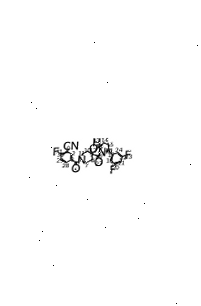 N#Cc1cc(C(=O)N2CCC3(CC2)O[C@@H]2CC[C@@H](c4cc(F)cc(F)c4)N2C3=O)ccc1F